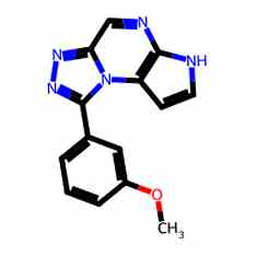 COc1cccc(-c2nnc3cnc4[nH]ccc4n23)c1